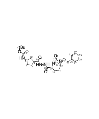 CC(C)(C)OC(=O)N[C@@H]1CC[C@H](C(=O)NNC(=O)[C@@H]2CCC3CN2C(=O)N3OCc2ccccc2)C1